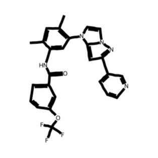 Cc1cc(C)c(-n2ccn3nc(-c4cccnc4)cc23)cc1NC(=O)c1cccc(OC(F)(F)F)c1